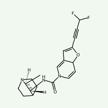 C[C@H]1[C@H](NC(=O)N2C=CC3OC(C#CC(F)F)=CC3=C2)C2CCN1CC2